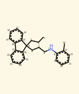 CCCC1(CCCNc2ccccc2C)c2ccccc2-c2ccccc21